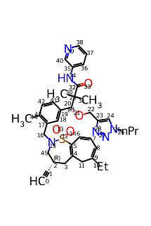 C#C[C@H]1CC2=C(C=CC=C(CC)C2)S(=O)(=O)N(Cc2cc([C@@H](OCc3cn(CCC)nn3)C(C)(C)C(=O)Nc3cccnc3)ccc2C)C1